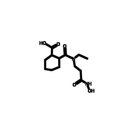 CCN(CCC(=O)NO)C(=O)C1CCCCC1C(=O)O